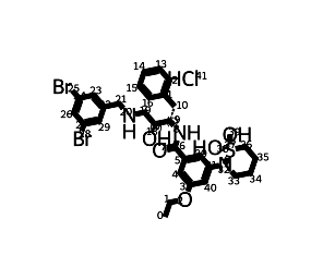 CCOc1cc(C(=O)N[C@@H](Cc2ccccc2)[C@H](O)CNCc2cc(Br)cc(Br)c2)cc(N2CCCCS2(O)O)c1.Cl